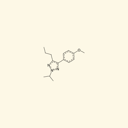 CCCc1nn(C(C)C)nc1-c1ccc(OC)cc1